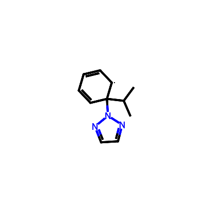 CC(C)C1(n2nccn2)[CH]C=CC=C1